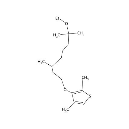 CCOC(C)(C)CCCC(C)CCOc1c(C)csc1C